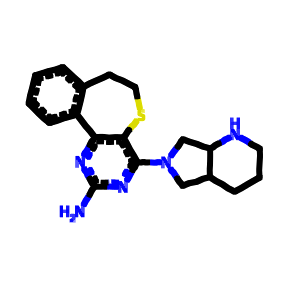 Nc1nc2c(c(N3CC4CCCNC4C3)n1)SCCc1ccccc1-2